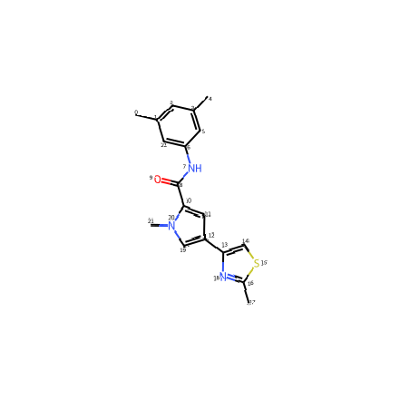 Cc1cc(C)cc(NC(=O)c2cc(-c3csc(C)n3)cn2C)c1